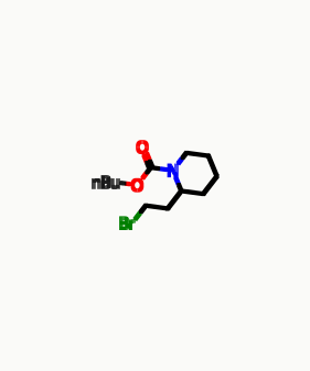 CCCCOC(=O)N1CCCCC1CCBr